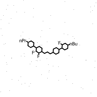 CCCCC1CCC(C2CCC(CCCC3CCC(C4CCC(CCC)CC4)[C@@H](F)C3F)CC2)C(F)C1